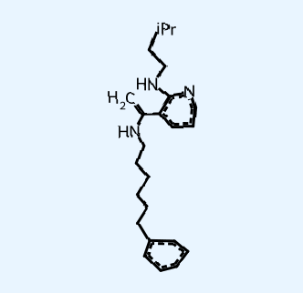 C=C(NCCCCCCc1ccccc1)c1cccnc1NCCC(C)C